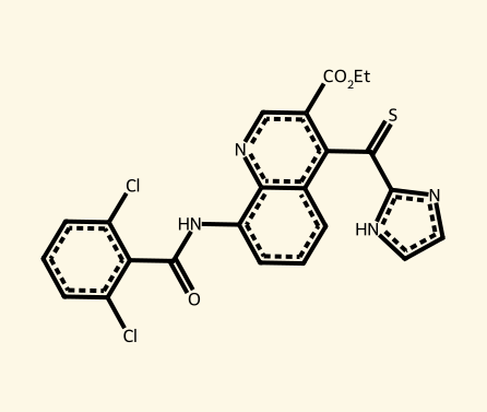 CCOC(=O)c1cnc2c(NC(=O)c3c(Cl)cccc3Cl)cccc2c1C(=S)c1ncc[nH]1